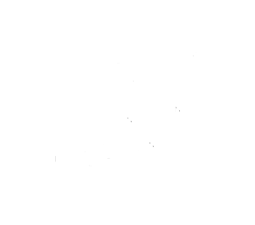 CCSc1cc(Cl)cnc1-c1ncc(C(F)(F)C(F)(F)C(F)(F)F)n1C